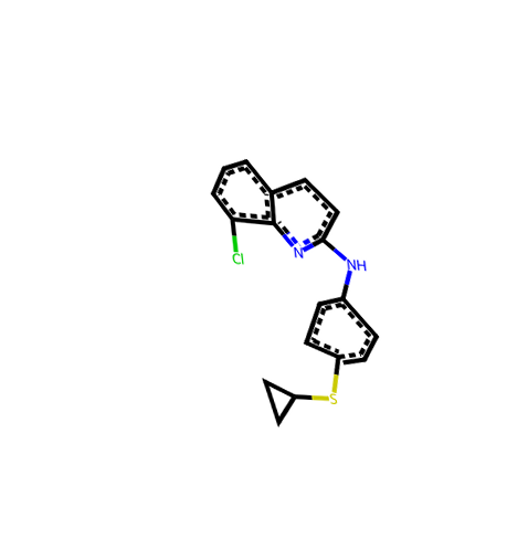 Clc1cccc2ccc(Nc3ccc(SC4CC4)cc3)nc12